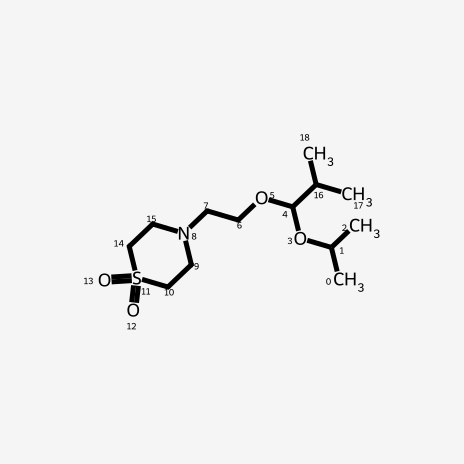 CC(C)OC(OCCN1CCS(=O)(=O)CC1)C(C)C